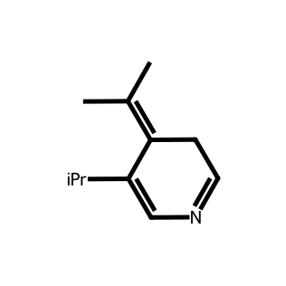 CC(C)=C1CC=NC=C1C(C)C